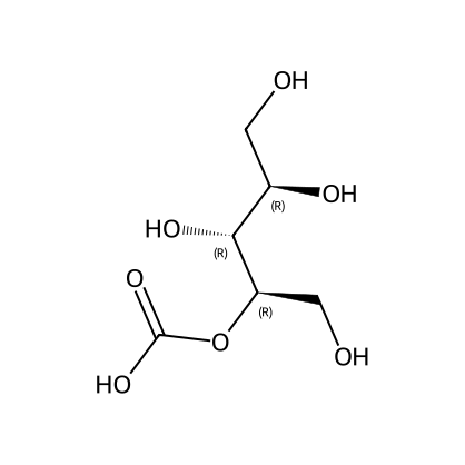 O=C(O)O[C@H](CO)[C@H](O)[C@H](O)CO